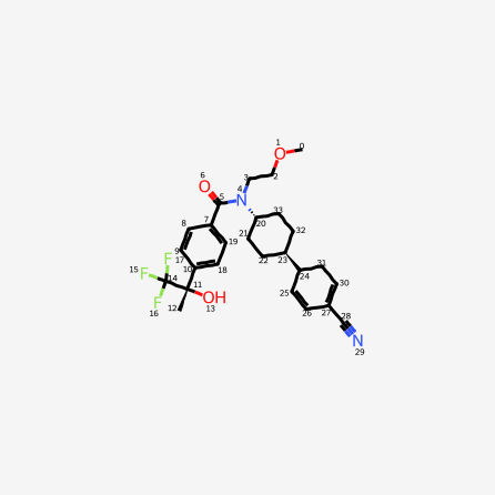 COCCN(C(=O)c1ccc([C@](C)(O)C(F)(F)F)cc1)[C@H]1CC[C@H](C2C=CC(C#N)=CC2)CC1